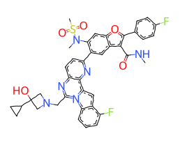 CNC(=O)c1c(-c2ccc(F)cc2)oc2cc(N(C)S(C)(=O)=O)c(-c3ccc4nc(CN5CC(O)(C6CC6)C5)n5c6cccc(F)c6cc5c4n3)cc12